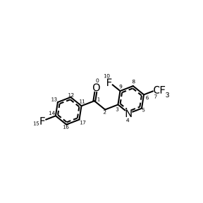 O=C(Cc1ncc(C(F)(F)F)cc1F)c1ccc(F)cc1